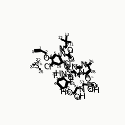 C#CCOc1cc(-n2nc(C(C)(C)C)oc2=O)c(Cl)cc1Cl.C[S+](C)C.Cc1ccn2nc(S(=O)(=O)Nc3c(F)cccc3F)nc2n1.O=C(O)CNCP(=O)([O-])O